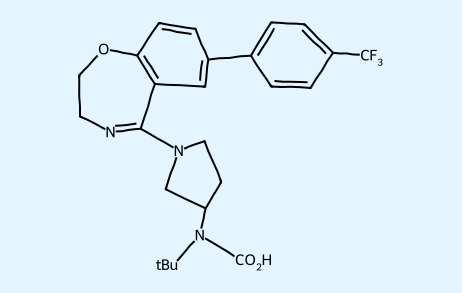 CC(C)(C)N(C(=O)O)C1CCN(C2=NCCOc3ccc(-c4ccc(C(F)(F)F)cc4)cc32)C1